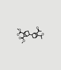 COC(=O)C1C2CC(C3CC4CC3C(C(C)=O)C4C(C)=O)C(C2)C1C(=O)OC